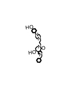 O=C1c2cn(Cc3ccccc3)cc2C(O)CCN1CCCN1CCN(c2ccc(O)cc2)CC1